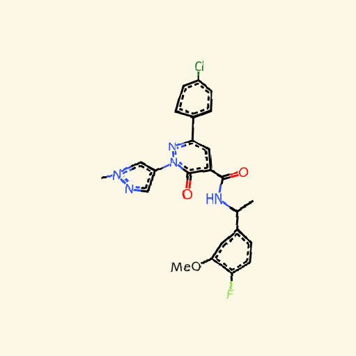 COc1cc(C(C)NC(=O)c2cc(-c3ccc(Cl)cc3)nn(-c3cnn(C)c3)c2=O)ccc1F